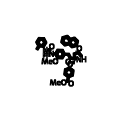 COC(=O)c1ccc(OC[C@]2(C(=O)Cc3ccc(NC(=O)Nc4ccccc4C)c(OC)c3)C[C@H](Oc3ccc4ccccc4c3)CN2)cc1